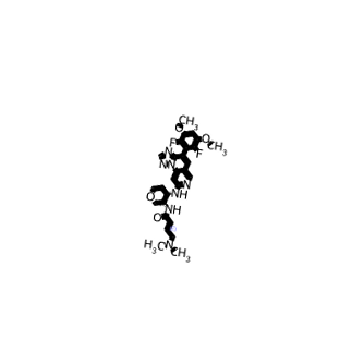 COc1cc(OC)c(F)c(-c2cc3cnc(N[C@H]4CCOC[C@H]4NC(=O)/C=C/CN(C)C)cc3n3ncnc23)c1F